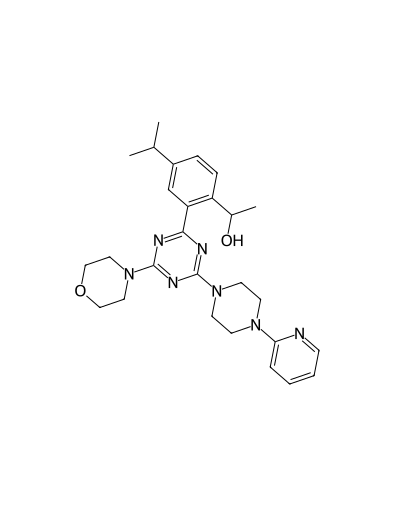 CC(C)c1ccc(C(C)O)c(-c2nc(N3CCOCC3)nc(N3CCN(c4ccccn4)CC3)n2)c1